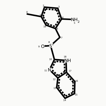 Cc1ccc(N)c(C[S+]([O-])c2nc3ccccc3[nH]2)c1